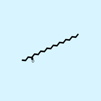 CCCCCCCCCCCCCCCC(=O)CCC